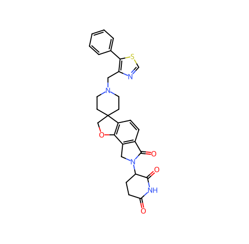 O=C1CCC(N2Cc3c(ccc4c3OCC43CCN(Cc4ncsc4-c4ccccc4)CC3)C2=O)C(=O)N1